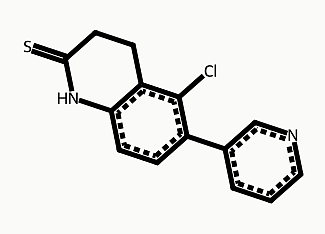 S=C1CCc2c(ccc(-c3cccnc3)c2Cl)N1